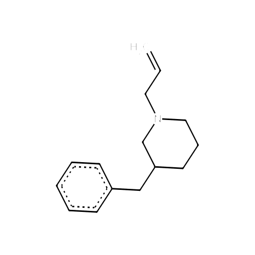 C=CCN1CCCC(Cc2ccccc2)C1